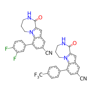 N#Cc1cc(-c2ccc(C(F)(F)F)cc2)c2c(c1)cc1n2CCCNC1=O.N#Cc1cc(-c2ccc(F)c(F)c2)c2c(c1)cc1n2CCCNC1=O